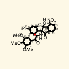 COc1cc(C(=O)C(=O)NC23C(=O)c4cccc([N+](=O)[O-])c4C2(O)Oc2cc(C(C)C)ccc23)cc(OC)c1OC